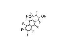 OC1=C(F)c2c(c(F)c3c(F)c(F)c(F)c(F)c3c2F)C(O)(F)C1F